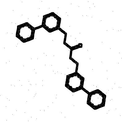 O=C(CCc1cccc(-c2ccccc2)c1)CCc1cccc(-c2ccccc2)c1